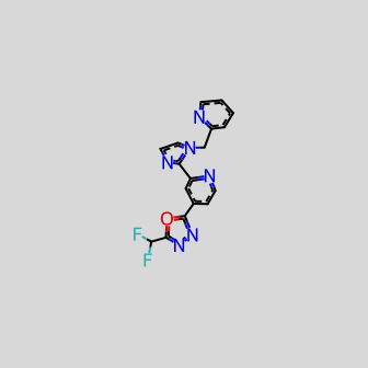 FC(F)c1nnc(-c2ccnc(-c3nccn3Cc3ccccn3)c2)o1